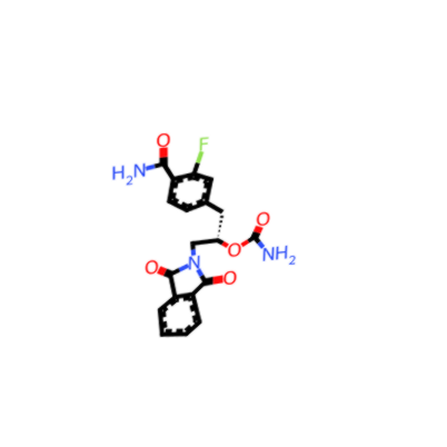 NC(=O)O[C@@H](Cc1ccc(C(N)=O)c(F)c1)CN1C(=O)c2ccccc2C1=O